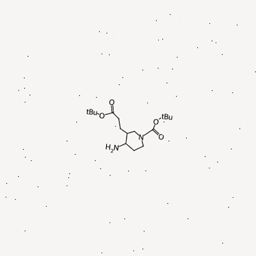 CC(C)(C)OC(=O)CCC1CN(C(=O)OC(C)(C)C)CCC1N